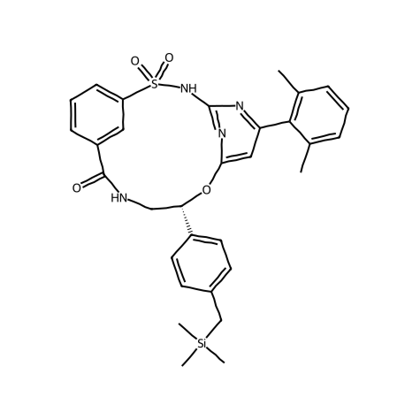 Cc1cccc(C)c1-c1cc2nc(n1)NS(=O)(=O)c1cccc(c1)C(=O)NC[C@@H](c1ccc(C[Si](C)(C)C)cc1)O2